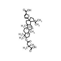 C=C(C)[C@@H]1CCC2(c3ccc(C(=O)O)s3)CC[C@]3(C)C(CCC4[C@@]5(C)CC[C@H](OC(=O)CC(C)(C)C(=O)O)C(C)(C)C5CC[C@]43C)C12